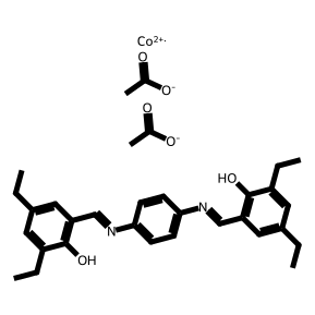 CC(=O)[O-].CC(=O)[O-].CCc1cc(C=Nc2ccc(N=Cc3cc(CC)cc(CC)c3O)cc2)c(O)c(CC)c1.[Co+2]